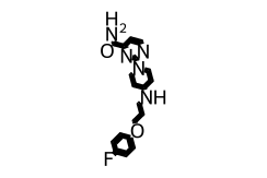 NC(=O)c1ccnc(N2CCC(NCCCOc3ccc(F)cc3)CC2)n1